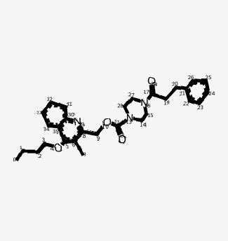 CCCCOc1c(C)c(COC(=O)N2CCN(C(=O)CCc3ccccc3)CC2)nc2ccccc12